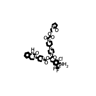 Nc1c(Cl)cc(C[C@@H](OC(=O)N2CCC(N3CCc4ccccc4NC3=O)CC2)C(=O)N2CCN(C3CCN(C(=O)C(=O)OCCN4CCCC4=O)CC3)CC2)cc1C(F)(F)F